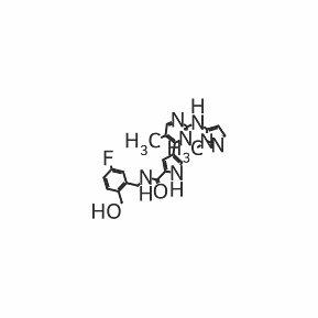 Cc1cnc(Nc2ccnn2C)nc1-c1c[nH]c(C(=O)NCc2cc(F)ccc2CO)c1